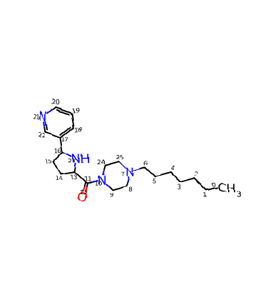 CCCCCCCN1CCN(C(=O)C2CCC(c3cccnc3)N2)CC1